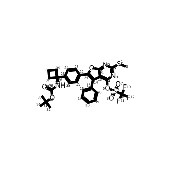 CSc1nc(OS(=O)(=O)C(F)(F)F)c2c(-c3ccccc3)c(-c3ccc(C4(NC(=O)OC(C)(C)C)CCC4)cc3)oc2n1